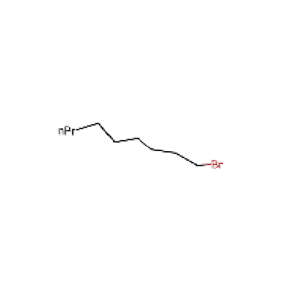 [CH2]CCCCCCCCBr